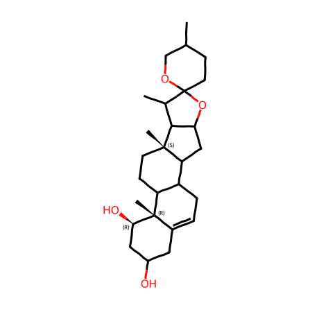 CC1CCC2(OC1)OC1CC3C4CC=C5CC(O)C[C@@H](O)[C@]5(C)C4CC[C@]3(C)C1C2C